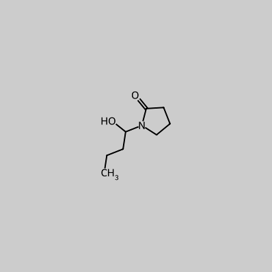 CCCC(O)N1CCCC1=O